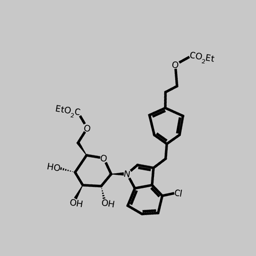 CCOC(=O)OCCc1ccc(Cc2cn([C@@H]3O[C@H](COC(=O)OCC)[C@@H](O)[C@H](O)[C@H]3O)c3cccc(Cl)c23)cc1